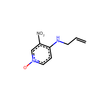 C=CCNc1cc[n+]([O-])cc1[N+](=O)[O-]